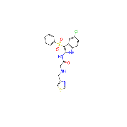 O=C(CNCc1cscn1)Nc1[nH]c2ccc(Cl)cc2c1S(=O)(=O)c1ccccc1